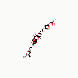 C=C1C[C@H](CC[C@]23CC4OC5(O2)C2C(O[C@H]6CC[C@H](CC(=O)C[C@@H]7[C@@H](C)[C@@H](C[C@H](O)CC)O[C@H]7C)O[C@@H]6[C@@H]2O3)[C@H]45)O[C@H]1CC